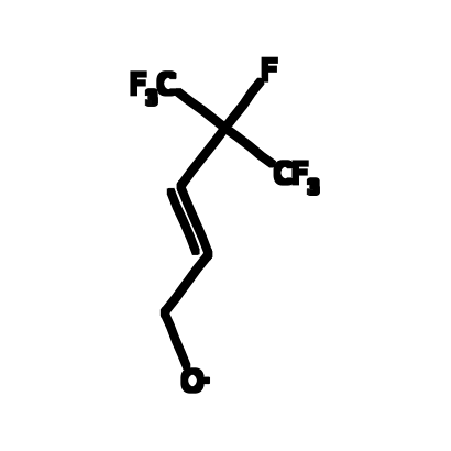 [O]CC=CC(F)(C(F)(F)F)C(F)(F)F